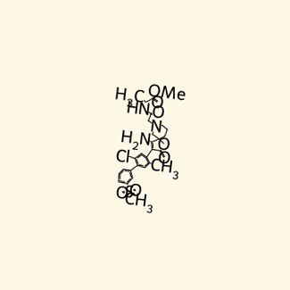 COC(=O)C(C)NC(=O)CN1CCCC2(C1)OC(=O)C(c1cc(Cl)c(-c3cccc(S(C)(=O)=O)c3)cc1C)=C2N